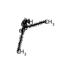 [2H]NC(=O)CP(=O)(O)OC[C@@H](COC(=O)CCCCCCCCCCCCCCCCC)OC(=O)CCCCCCCCCCCCCCCCC